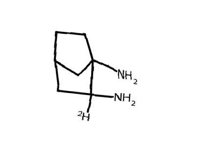 [2H]C1(N)CC2CCC1(N)C2